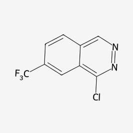 FC(F)(F)c1ccc2cnnc(Cl)c2c1